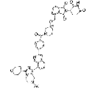 CC(=O)N1CCn2c(C3CCOCC3)nc(-c3cccc4cc(-c5ccc(C(=O)N6CCC[C@@H](OCc7cccc8c7C(=O)N(C7CCC(=O)NC7=O)C8=O)C6)nc5)ncc34)c2C1